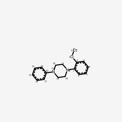 C[CH]Oc1ccccc1N1CCN(c2ccccc2)CC1